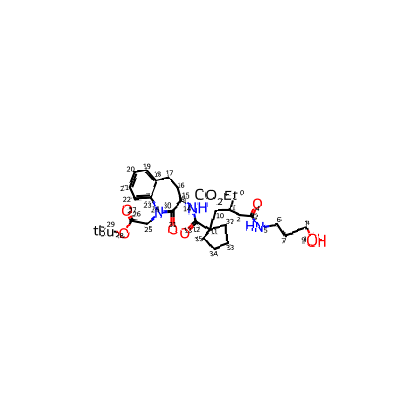 CCOC(=O)C(CC(=O)NCCCO)CC1(C(=O)N[C@H]2CCc3ccccc3N(CC(=O)OC(C)(C)C)C2=O)CCCC1